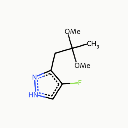 COC(C)(Cc1n[nH]cc1F)OC